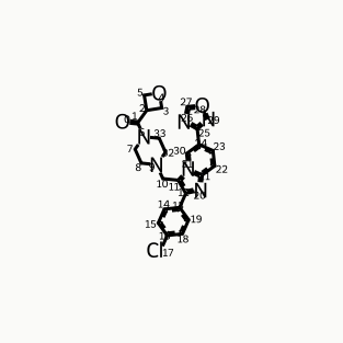 O=C(C1COC1)N1CCN(Cc2c(-c3ccc(Cl)cc3)nc3ccc(-c4ncon4)cn23)CC1